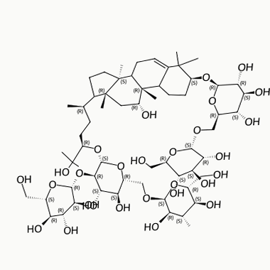 C[C@@H]1[C@@H](O)[C@@H](OC[C@H]2O[C@@H](O[C@H](CC[C@@H](C)C3CC[C@@]4(C)C5CC=C6C(CC[C@H](O[C@@H]7O[C@H](CO[C@H]8O[C@H](CO)[C@@H](O)[C@H](O)[C@H]8O)[C@@H](O)[C@H](O)[C@H]7O)C6(C)C)[C@]5(C)[C@H](O)C[C@]34C)C(C)(C)O)[C@H](O[C@H]3O[C@@H](CO)[C@H](O)[C@@H](O)[C@@H]3O)[C@@H](O)[C@@H]2O)O[C@H](CO)[C@H]1O